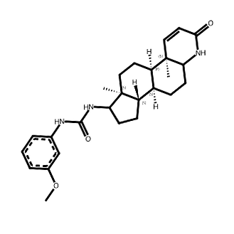 COc1cccc(NC(=O)NC2CC[C@H]3[C@@H]4CCC5NC(=O)C=C[C@]5(C)[C@@H]4CC[C@]23C)c1